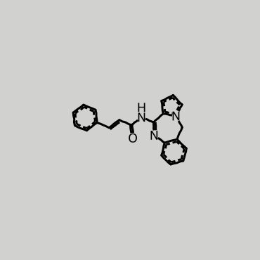 O=C(C=Cc1ccccc1)NC1=Nc2ccccc2Cn2cccc21